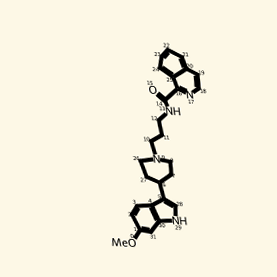 COc1ccc2c(C3CCN(CCCNC(=O)c4nccc5ccccc45)CC3)c[nH]c2c1